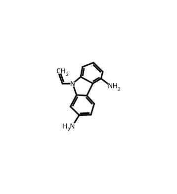 C=Cn1c2cc(N)ccc2c2c(N)cccc21